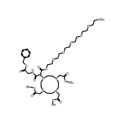 COCCOCCOCCOCCOCCOCCOC(=O)C(C(=O)NCC(=O)OCc1ccccc1)N1CCN(CC(=O)OC(C)(C)C)CCN(CC(=O)OC(C)(C)C)CCN(CC(=O)OC(C)(C)C)CC1